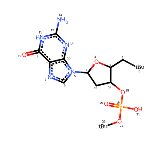 CC(C)(C)CC1OC(n2cnc3c(=O)[nH]c(N)nc32)CC1OP(=O)(O)OC(C)(C)C